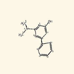 CN(C)c1nc(O)cc(-c2ccccc2)n1